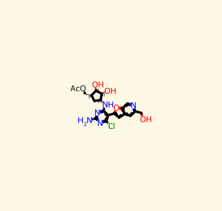 CC(=O)OC[C@H]1C[C@@H](Nc2nc(N)nc(Cl)c2-c2cc3cc(CO)ncc3o2)[C@H](O)[C@@H]1O